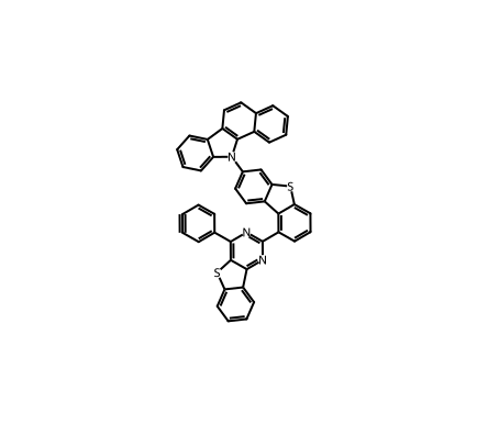 c1ccc(-c2nc(-c3cccc4sc5cc(-n6c7ccccc7c7ccc8ccccc8c76)ccc5c34)nc3c2sc2ccccc23)cc#1